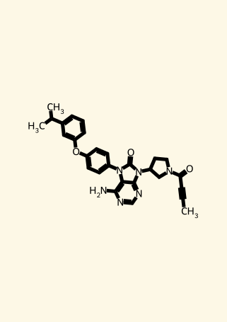 CC#CC(=O)N1CCC(n2c(=O)n(-c3ccc(Oc4cccc(C(C)C)c4)cc3)c3c(N)ncnc32)C1